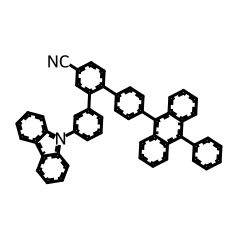 N#Cc1ccc(-c2ccc(-c3c4ccccc4c(-c4ccccc4)c4ccccc34)cc2)c(-c2cccc(-n3c4ccccc4c4ccccc43)c2)c1